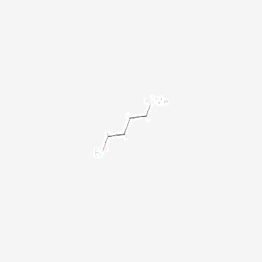 CSCCCCBr